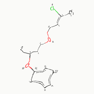 CC(CCOCC=C(Cl)C(F)(F)F)Oc1ccccc1